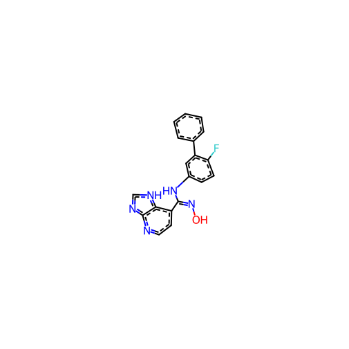 O/N=C(/Nc1ccc(F)c(-c2ccccc2)c1)c1ccnc2nc[nH]c12